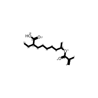 C=C(C)C(=O)OC(C)CCCCCC(CC)C(=O)O